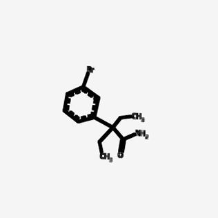 CCC(CC)(C(N)=O)c1cccc(Br)c1